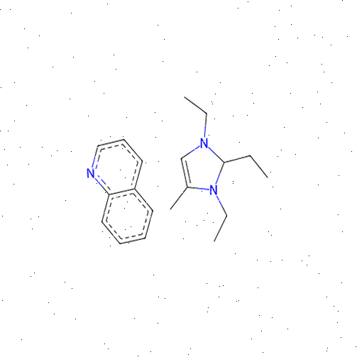 CCC1N(CC)C=C(C)N1CC.c1ccc2ncccc2c1